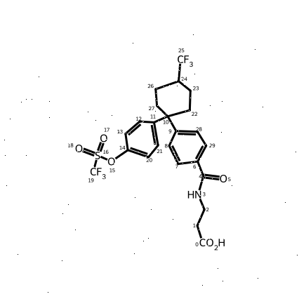 O=C(O)CCNC(=O)c1ccc(C2(c3ccc(OS(=O)(=O)C(F)(F)F)cc3)CCC(C(F)(F)F)CC2)cc1